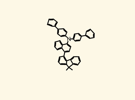 CC1(C)c2ccccc2-c2c(-c3ccc(N(c4ccc(-c5ccccc5)cc4)c4ccc(-c5ccccc5)cc4)c4ccccc34)cccc21